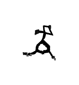 O=C(O)c1cc(C2(O)COC2)cc(C(F)(F)F)n1